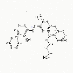 Cc1cc(CN2CCNCC2)c(OCCCCC#N)cc1/C=C/c1cccc(-c2ccccc2)c1C#N